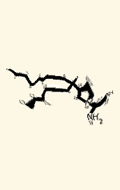 CCCCCCCC(C)(CCCCC)C1CN(C(=N)N)C1